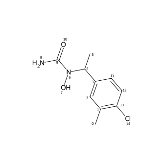 Cc1cc(C(C)N(O)C(N)=O)ccc1Cl